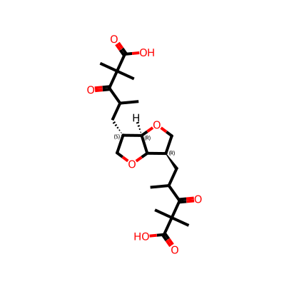 CC(C[C@@H]1CO[C@H]2C1OC[C@@H]2CC(C)C(=O)C(C)(C)C(=O)O)C(=O)C(C)(C)C(=O)O